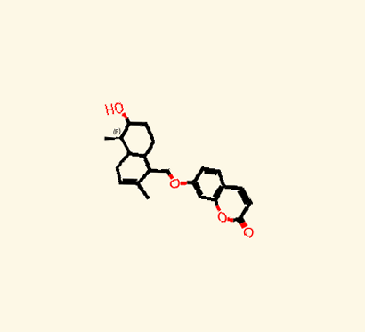 CC1=CCC2C(CCC(O)[C@@H]2C)C1COc1ccc2ccc(=O)oc2c1